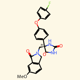 COc1ccc2c(c1)C(=O)N(C[C@@]1(c3ccc(Oc4ccc(F)cc4)cc3)NC(=O)NC1=O)C2